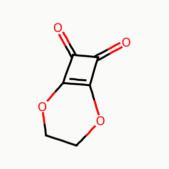 O=c1c2c(c1=O)OCCO2